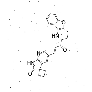 O=C(/C=C/c1cnc2c(c1)C1(CCC1)C(=O)N2)C1CCc2oc3ccccc3c2N1